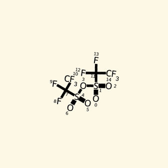 O=S(=O)(OS(=O)(=O)C(F)(F)C(F)(F)F)C(F)(F)C(F)(F)F